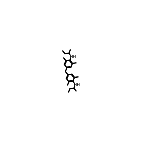 CCC(C)Nc1c(C)cc(Cc2cc(C)c(NC(C)CC)c(C)c2)cc1C